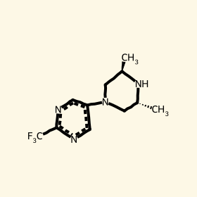 C[C@@H]1CN(c2cnc(C(F)(F)F)nc2)C[C@@H](C)N1